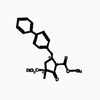 CCOC(=O)[C@@]1(C)C[C@@H](Cc2ccc(-c3ccccc3)cc2)N(C(=O)OC(C)(C)C)C1=O